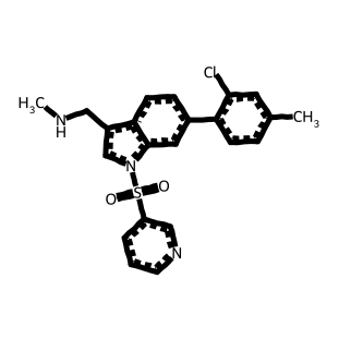 CNCc1cn(S(=O)(=O)c2cccnc2)c2cc(-c3ccc(C)cc3Cl)ccc12